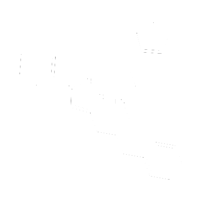 [CH](Cc1ccsc1)NC[C@H](Cc1ccccc1)Cc1cn(-c2ccccc2)nn1